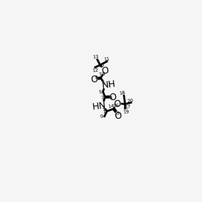 CC(NC(=O)CNC(=O)OC(C)(C)C)C(=O)OC(C)(C)C